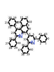 c1ccc(-c2cc(-c3cc4ccccc4c4c(-c5ccccc5)cc(-c5ccccc5)nc34)cc(-c3ccccc3)n2)cc1